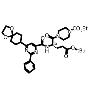 CCOC(=O)N1CCN(C(=O)[C@H](CCC(=O)OC(C)(C)C)NC(=O)c2cc(C3CCC4(CC3)OCCO4)nc(-c3ccccc3)n2)CC1